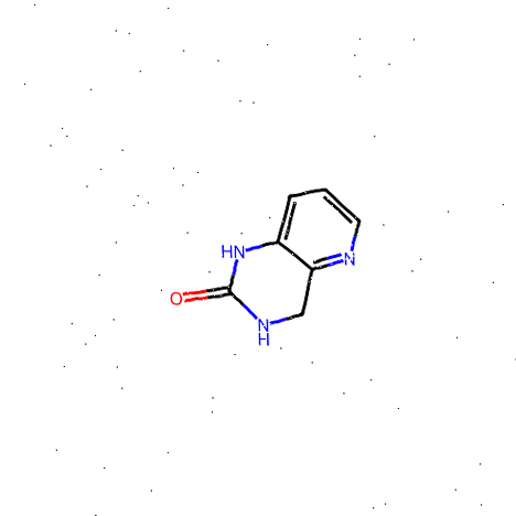 O=C1NCc2ncccc2N1